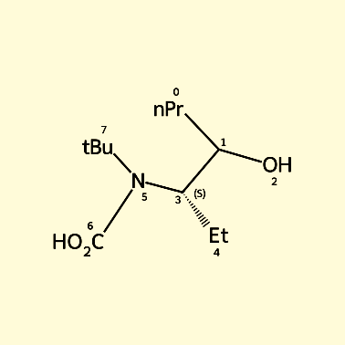 CCCC(O)[C@H](CC)N(C(=O)O)C(C)(C)C